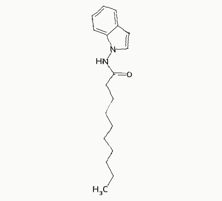 CCCCCCCCCC(=O)Nn1ccc2ccccc21